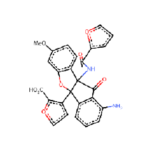 COc1ccc2c(c1)OC1(c3ccoc3C(=O)O)c3cccc(N)c3C(=O)C21NC(=O)c1ccco1